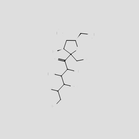 O=C(C(O)C(O)C(O)C(O)CO)C1(CO)O[C@H](CO)[C@@H](O)[C@@H]1O